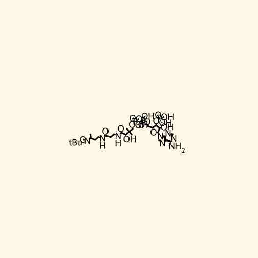 C/C(CCNC(=O)CCNC(=O)[C@@H](O)C(C)(C)COP(=O)(O)OP(=O)(O)OCC1OC(n2cnc3c(N)ncnc32)C(O)C1OP(=O)(O)O)=N\OC(C)(C)C